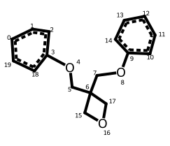 c1ccc(OCC2(COc3ccccc3)COC2)cc1